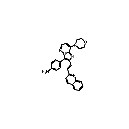 Nc1ccc(-c2c(C=Cc3ccc4ccccc4n3)nc3c(N4CCOCC4)ccnn23)cc1